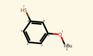 CCCCOc1cccc(S)c1